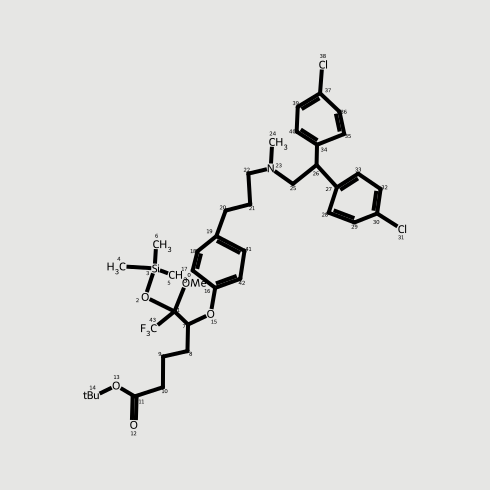 COC(O[Si](C)(C)C)(C(CCCC(=O)OC(C)(C)C)Oc1ccc(CCCN(C)CC(c2ccc(Cl)cc2)c2ccc(Cl)cc2)cc1)C(F)(F)F